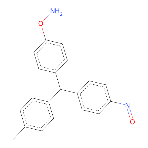 Cc1ccc(C(c2ccc(N=O)cc2)c2ccc(ON)cc2)cc1